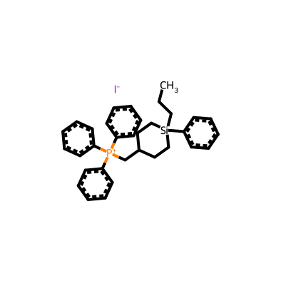 CCC[Si]1(c2ccccc2)CCC(C[P+](c2ccccc2)(c2ccccc2)c2ccccc2)CC1.[I-]